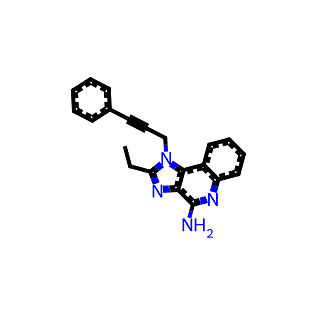 CCc1nc2c(N)nc3ccccc3c2n1CC#Cc1ccccc1